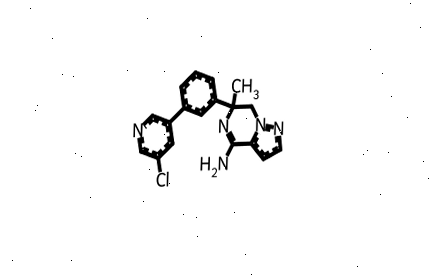 CC1(c2cccc(-c3cncc(Cl)c3)c2)Cn2nccc2C(N)=N1